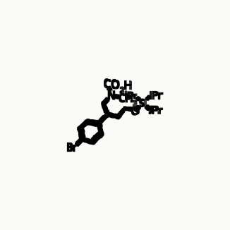 CC(C)[Si](OCCC(CN(C)C(=O)O)c1ccc(Br)cc1)(C(C)C)C(C)C